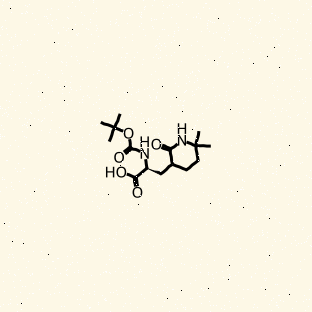 CC1(C)CCC(C[C@H](NC(=O)OC(C)(C)C)C(=O)O)C(=O)N1